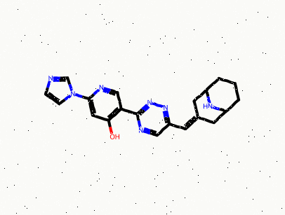 Oc1cc(-n2ccnc2)ncc1-c1ncc(C=C2CC3CCCC(C2)N3)nn1